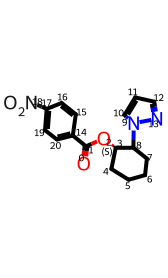 O=C(O[C@H]1CCCCC1n1cccn1)c1ccc([N+](=O)[O-])cc1